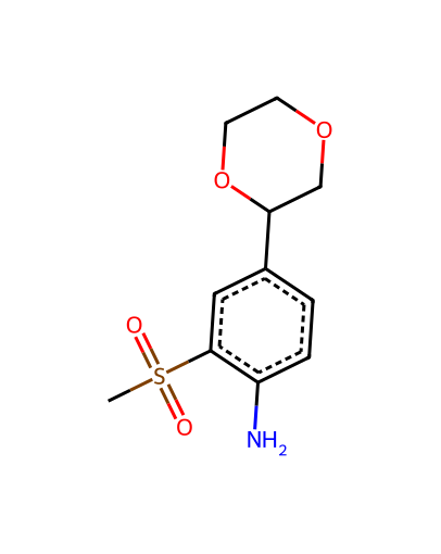 CS(=O)(=O)c1cc(C2COCCO2)ccc1N